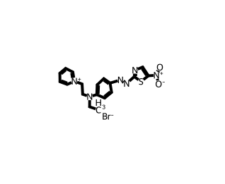 CCN(CC[n+]1ccccc1)c1ccc(/N=N/c2ncc([N+](=O)[O-])s2)cc1.[Br-]